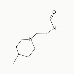 CC1CCN(CCN(C)C=O)CC1